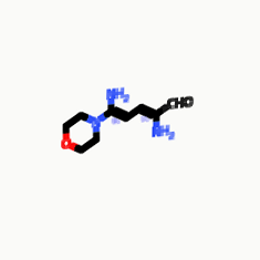 N/C(C=O)=C\C=C(/N)N1CCOCC1